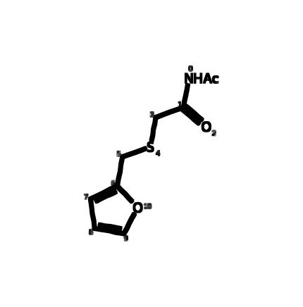 CC(=O)NC(=O)CSCc1ccco1